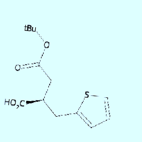 CC(C)(C)OC(=O)C[C@@H](Cc1cccs1)C(=O)O